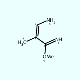 COC(=N)/C(C)=C\N